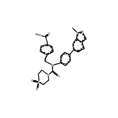 COC(=O)c1ccc(CN(C(=O)N2CCS(=O)(=O)CC2)c2ccc(-c3ccc4cnn(C)c4c3)cc2)cc1